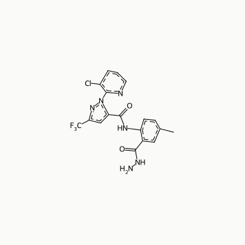 Cc1ccc(NC(=O)c2cc(C(F)(F)F)nn2-c2ncccc2Cl)c(C(=O)NN)c1